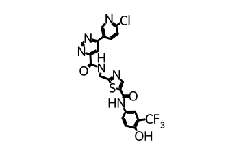 O=C(NCc1ncc(C(=O)Nc2ccc(O)c(C(F)(F)F)c2)s1)c1cc(-c2ccc(Cl)nc2)ncn1